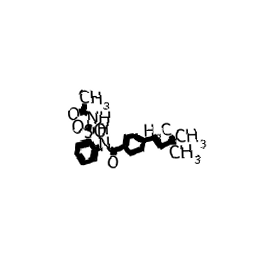 CC(=O)NS(=O)(=O)c1ccccc1NC(=O)c1ccc(C=CC(C)(C)C)cc1